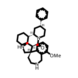 COc1cccc2c1CNCC[C@]21CNC[C@H]1C(=O)N1CC[C@@H](c2ccccc2)C[C@H]1C1CCCCC1